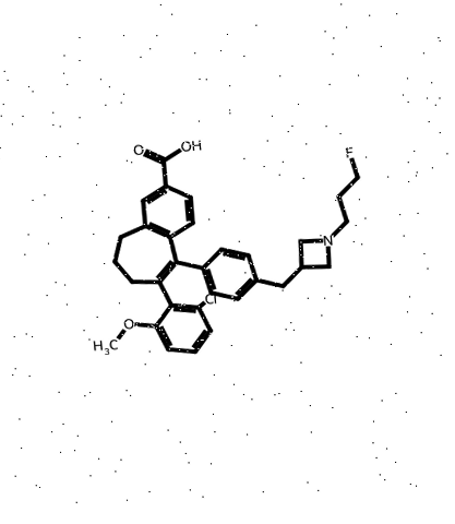 COc1cccc(Cl)c1C1=C(c2ccc(CC3CN(CCCF)C3)cc2)c2ccc(C(=O)O)cc2CCC1